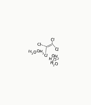 ClC(Cl)=C(Cl)Cl.O.O.O.O.O